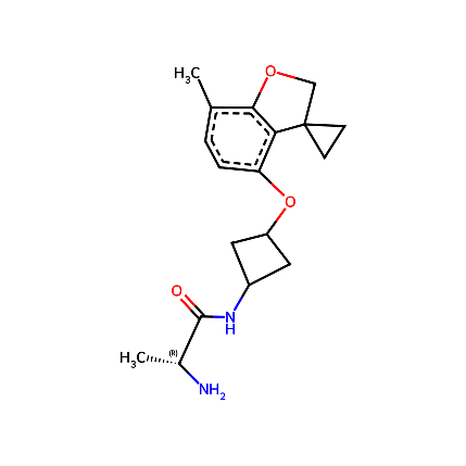 Cc1ccc(OC2CC(NC(=O)[C@@H](C)N)C2)c2c1OCC21CC1